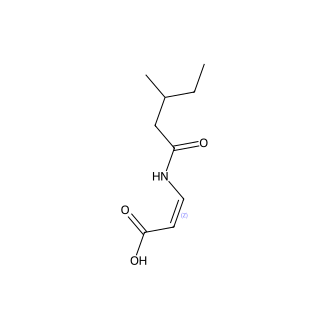 CCC(C)CC(=O)N/C=C\C(=O)O